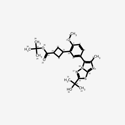 COc1ccc(-c2c(C)nc3sc(C(C)(C)O)nn23)cc1C1CC(C(=O)OC(C)(C)C)C1